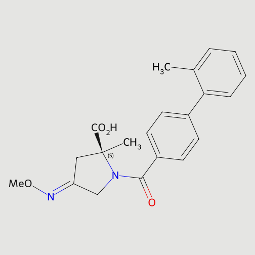 CON=C1CN(C(=O)c2ccc(-c3ccccc3C)cc2)[C@](C)(C(=O)O)C1